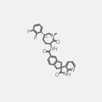 CN1C[C@H](c2cccc(F)c2F)CCC(NC(=O)c2ccc3c(c2)CC2(C3)C(=O)Nc3ncccc32)C1=O